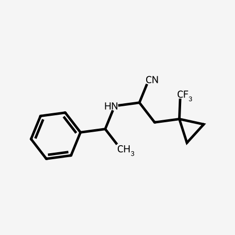 CC(NC(C#N)CC1(C(F)(F)F)CC1)c1ccccc1